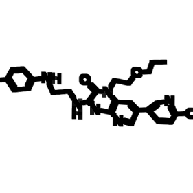 CCCOCCn1c(=O)c(NCCNc2ccc(F)cc2)nc2ncc(-c3ccc(OC)nc3)cc21